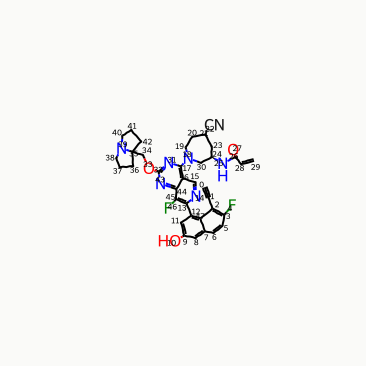 C#Cc1c(F)ccc2cc(O)cc(-c3ncc4c(N5CC[C@@H](C#N)C[C@@H](NC(=O)C=C)C5)nc(OCC56CCCN5CCC6)nc4c3F)c12